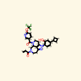 C=CC(=O)N1CCc2nn(-c3ccc(C4CCC4)cc3O)c3c2C(C1)N(C(=O)c1ccc(OC(F)(F)F)nc1)CC3